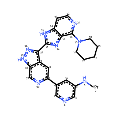 CC(C)Nc1cncc(-c2cc3c(-c4nc5c(N6CCCCC6)nccc5[nH]4)n[nH]c3cn2)c1